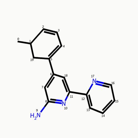 CC1C=CC=C(c2cc(N)nc(-c3ccccn3)c2)C1